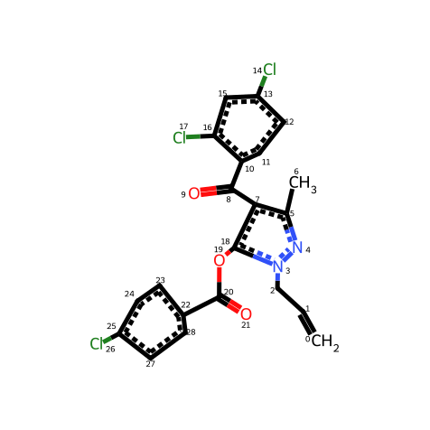 C=CCn1nc(C)c(C(=O)c2ccc(Cl)cc2Cl)c1OC(=O)c1ccc(Cl)cc1